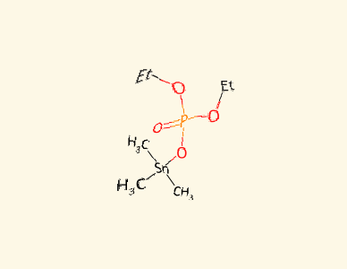 CCOP(=O)(OCC)[O][Sn]([CH3])([CH3])[CH3]